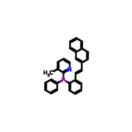 Cc1cccnc1P(c1ccccc1)c1ccccc1C=Cc1ccc2ccccc2c1